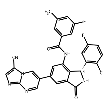 N#Cc1cnc2ncc(-c3cc(NC(=O)c4cc(F)cc(C(F)(F)F)c4)c4c(c3)C(=O)N[C@H]4c3cc(F)ccc3Cl)cn12